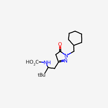 CC(C)(C)C(CC1=NN(CC2CCCCC2)C(=O)C1)NC(=O)O